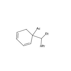 CCCC(CC)C1(C(C)=O)C=CC=CC1